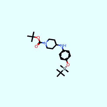 CC(C)(C)OC(=O)N1CCC(Nc2ccc(O[Si](C)(C)C(C)(C)C)cc2)CC1